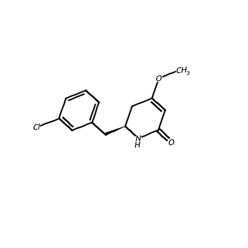 COC1=CC(=O)N[C@@H](Cc2cccc(Cl)c2)C1